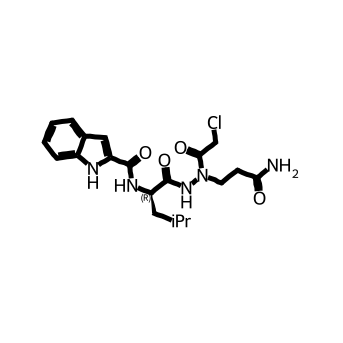 CC(C)C[C@@H](NC(=O)c1cc2ccccc2[nH]1)C(=O)NN(CCC(N)=O)C(=O)CCl